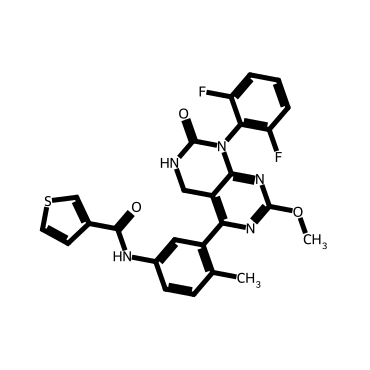 COc1nc(-c2cc(NC(=O)c3ccsc3)ccc2C)c2c(n1)N(c1c(F)cccc1F)C(=O)NC2